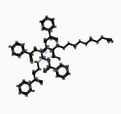 CO[C@H](OCCOCCOCCN)/C(OC(=O)c1ccccc1)=C(/OC(=O)c1ccccc1)[C@@H](CCOC(=O)c1ccccc1)OC(=O)c1ccccc1